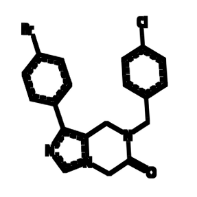 O=C1Cn2cnc(-c3ccc(Br)cc3)c2CN1Cc1ccc(Cl)cc1